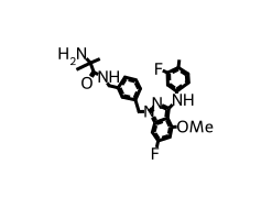 COc1cc(F)cc2c1c(Nc1ccc(C)c(F)c1)nn2Cc1cccc(CNC(=O)C(C)(C)N)c1